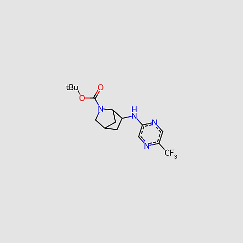 CC(C)(C)OC(=O)N1CC2CC(Nc3cnc(C(F)(F)F)cn3)C1C2